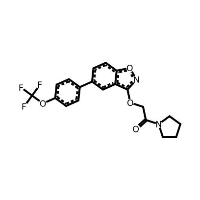 O=C(COc1noc2ccc(-c3ccc(OC(F)(F)F)cc3)cc12)N1CCCC1